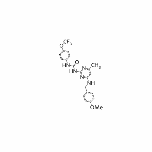 COc1ccc(CNc2cc(C)nc(NC(=O)Nc3ccc(OC(F)(F)F)cc3)n2)cc1